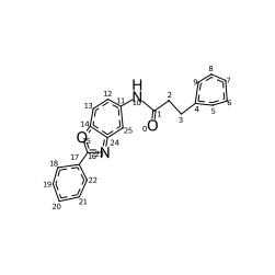 O=C(CCc1ccccc1)Nc1ccc2oc(-c3ccccc3)nc2c1